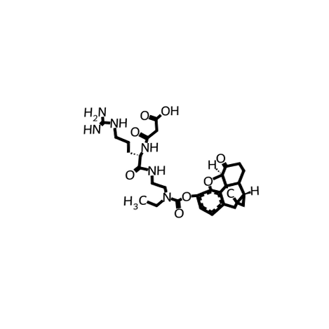 CCN(CCNC(=O)[C@H](CCCNC(=N)N)NC(=O)CC(=O)O)C(=O)Oc1ccc2c3c1O[C@H]1C(=O)CCC4[C@@H]5CC5(C2)C[C@@]341